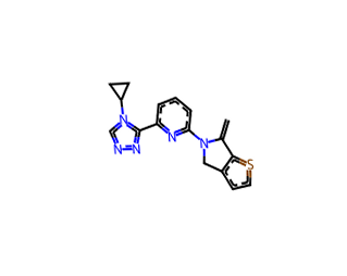 C=C1c2sccc2CN1c1cccc(-c2nncn2C2CC2)n1